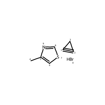 Br.C1#CC1.Cc1cscn1